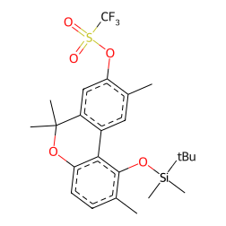 Cc1cc2c(cc1OS(=O)(=O)C(F)(F)F)C(C)(C)Oc1ccc(C)c(O[Si](C)(C)C(C)(C)C)c1-2